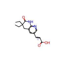 CCC1(CC)Cc2cc(/C=C/C(=O)O)cnc2NC1=O